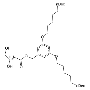 CCCCCCCCCCCCCCCOc1cc(COC(N)=O)cc(OCCCCCCCCCCCCCCC)c1.OCCO